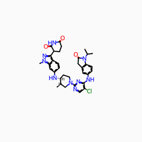 CC(C)N1C(=O)Cc2cc(Nc3nc(N4CC[C@@H](Nc5ccc6c(C7CCC(=O)NC7=O)nn(C)c6c5)[C@H](C)C4)ncc3Cl)ccc21